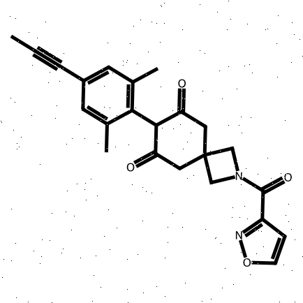 CC#Cc1cc(C)c(C2C(=O)CC3(CC2=O)CN(C(=O)c2ccon2)C3)c(C)c1